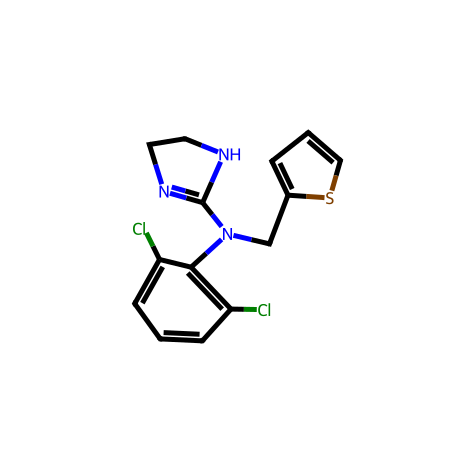 Clc1cccc(Cl)c1N(Cc1cccs1)C1=NCCN1